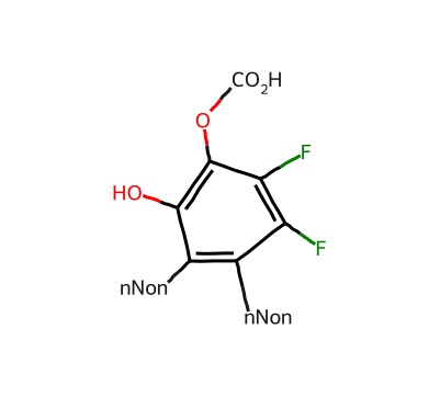 CCCCCCCCCc1c(O)c(OC(=O)O)c(F)c(F)c1CCCCCCCCC